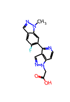 Cn1ncc2cc(F)c(-c3nccc4c3cnn4CC(=O)O)cc21